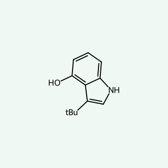 CC(C)(C)c1c[nH]c2cccc(O)c12